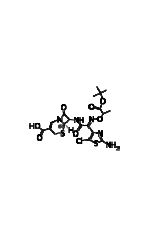 CC(ON=C(C(=O)NC1C(=O)N2C=C(C(=O)O)CS[C@H]12)c1nc(N)sc1Cl)C(=O)OC(C)(C)C